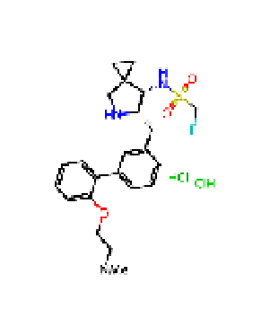 CNCCOc1ccccc1-c1cccc(C[C@@H]2NCC3(CC3)[C@@H]2NS(=O)(=O)CF)c1.Cl.Cl